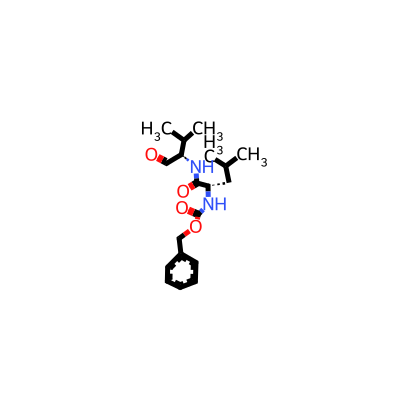 CC(C)C[C@H](NC(=O)OCc1ccccc1)C(=O)N[C@H](C=O)C(C)C